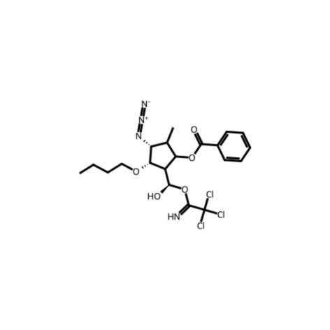 CCCCO[C@H]1C([C@H](O)OC(=N)C(Cl)(Cl)Cl)C(OC(=O)c2ccccc2)C(C)[C@H]1N=[N+]=[N-]